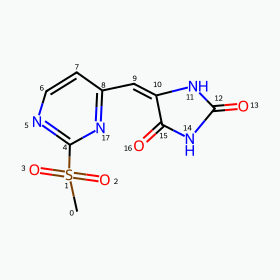 CS(=O)(=O)c1nccc(C=C2NC(=O)NC2=O)n1